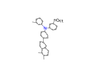 CCCCCCCCc1cccc(N(c2ccc(-c3ccc4c(C)c(C)ccc4c3)cc2)c2cccc(C)c2)c1